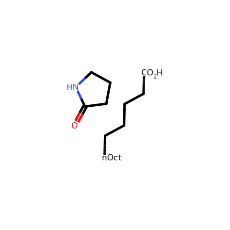 CCCCCCCCCCCCC(=O)O.O=C1CCCN1